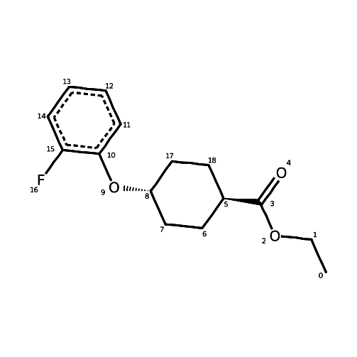 CCOC(=O)[C@H]1CC[C@H](Oc2ccccc2F)CC1